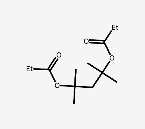 CCC(=O)OC(C)(C)CC(C)(C)OC(=O)CC